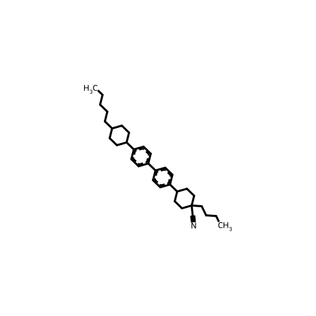 CCCCCC1CCC(c2ccc(-c3ccc(C4CCC(C#N)(CCCC)CC4)cc3)cc2)CC1